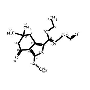 CCOC(=NNC=O)c1sc(SC)c2c1CC(C)(C)CC2=O